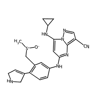 C[S+]([O-])Cc1cc(Nc2cc(NC3CC3)n3ncc(C#N)c3n2)ccc1C1=CCNC1